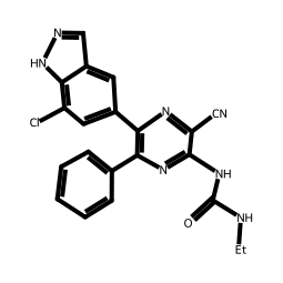 CCNC(=O)Nc1nc(-c2ccccc2)c(-c2cc(Cl)c3[nH]ncc3c2)nc1C#N